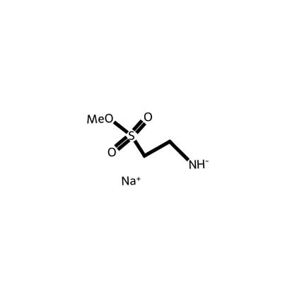 COS(=O)(=O)CC[NH-].[Na+]